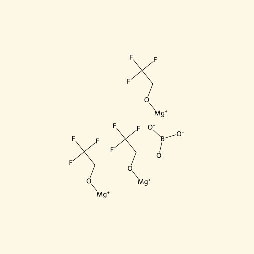 FC(F)(F)C[O][Mg+].FC(F)(F)C[O][Mg+].FC(F)(F)C[O][Mg+].[O-]B([O-])[O-]